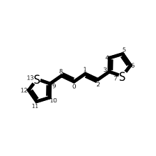 C(C=Cc1cccs1)=Cc1cccs1